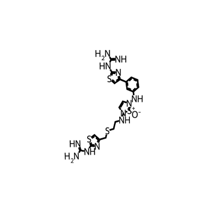 N=C(N)Nc1nc(CSCCNN2C=CN(Nc3cccc(-c4csc(NC(=N)N)n4)c3)[S+]2[O-])cs1